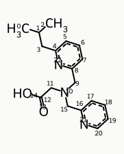 CC(C)Cc1cccc(CN(CC(=O)O)Cc2ccccn2)n1